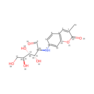 Cc1cc2ccc(N[C@H](C=O)[C@H](O)[C@@H](O)[C@@H](O)CO)cc2oc1=O